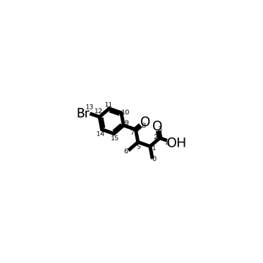 CC(C(=O)O)C(C)C(=O)c1ccc(Br)cc1